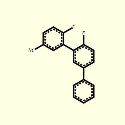 N#Cc1ccc(F)c(-c2cc(-c3ccccc3)ccc2F)c1